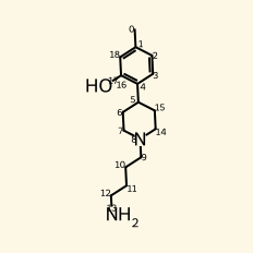 Cc1ccc(C2CCN(CCCCN)CC2)c(O)c1